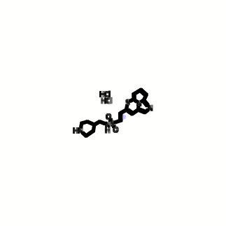 Cl.Cl.O=S(=O)(/C=C/C1=Cc2cnc3cccc(n23)S1)NCC1CCNCC1